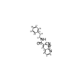 N#C/C(=C\c1cccnc1Br)C(=O)NCCc1ccccc1